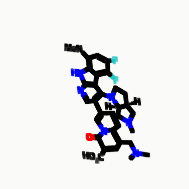 CNc1cc(F)c(F)c2c1[nH]c1ncc(-c3ccc4c(CN(C)C)cc(C(=O)O)c(=O)n4c3)c(N3CC[C@H]4CN(C)C[C@H]43)c12